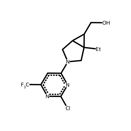 CCC12CN(c3cc(C(F)(F)F)nc(Cl)n3)CC1C2CO